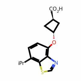 CC(C)c1ccc(O[C@H]2C[C@H](C(=O)O)C2)c2ncsc12